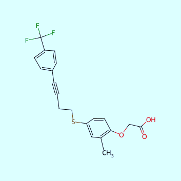 Cc1cc(SCCC#Cc2ccc(C(F)(F)F)cc2)ccc1OCC(=O)O